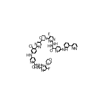 O=C(NNc1ncc(F)c(N2CCOCC2)n1)c1ccc(Nc2ccc(-c3ncc(C4CN(c5nc(NNC(=O)c6ccc(Nc7cccc(-c8cccnn8)c7)cn6)ncc5F)CCO4)cn3)c(Cl)c2)cn1